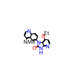 CCOc1ccnc2[nH]c(=O)n(-c3ccc4nccc(NC)c4c3)c12